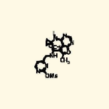 COc1nccc(CNC(=O)c2c(C)oc3ncnc(N(I)C4(C)CC4)c23)n1